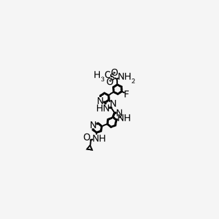 CS(=O)(=O)C(N)c1cc(F)cc(-c2ccnc3[nH]c(-c4n[nH]c5ccc(-c6cncc(NC(=O)C7CC7)c6)cc45)nc23)c1